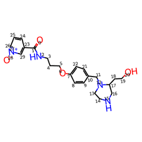 O=C(NCCCOc1ccc(CN2CCNCC2CCO)cc1)c1ccc[n+]([O-])c1